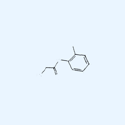 Cc1[c]cccc1NC(=O)CN